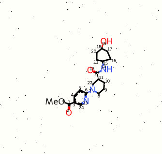 COC(=O)c1ccc(N2CCC[C@H](C(=O)NC3CCC(O)CC3)C2)nc1